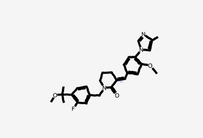 COc1cc(/C=C2\CCCN(Cc3ccc(C(C)(C)OC)c(F)c3)C2=O)ccc1-n1cnc(C)c1